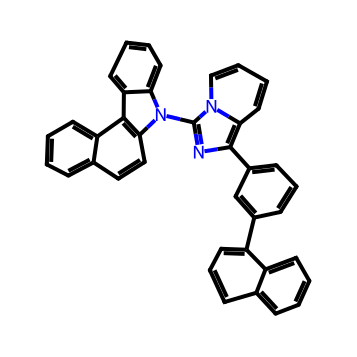 c1cc(-c2cccc3ccccc23)cc(-c2nc(-n3c4ccccc4c4c5ccccc5ccc43)n3ccccc23)c1